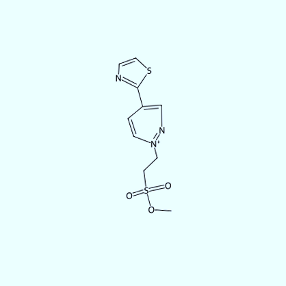 COS(=O)(=O)CC[n+]1ccc(-c2nccs2)cn1